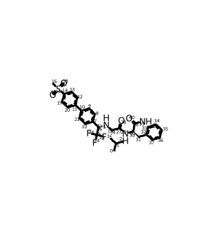 CC(C)C[C@H](N[C@@H](c1ccc(-c2ccc(S(C)(=O)=O)cc2)cc1)C(F)(F)F)C(=O)N[C@H](Cc1ccccc1)C(N)=O